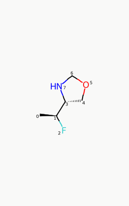 C[C@H](F)[C@H]1COCN1